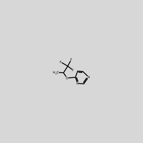 CC(Oc1ccncn1)C(F)(F)F